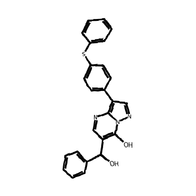 Oc1c(C(O)c2ccccc2)cnc2c(-c3ccc(Sc4ccccc4)cc3)cnn12